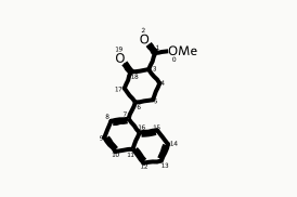 COC(=O)C1CCC(c2cccc3ccccc23)CC1=O